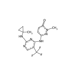 Cn1nc(Nc2nc(NC3(C)CC3)ncc2C(F)(F)F)ccc1=O